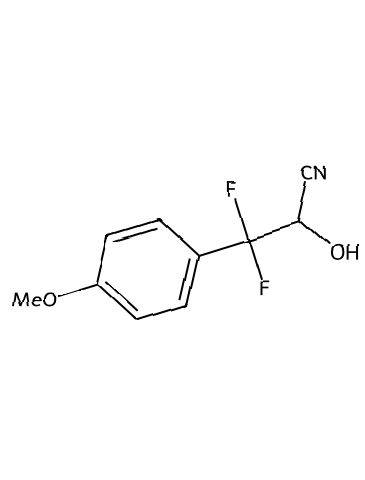 COc1ccc(C(F)(F)C(O)C#N)cc1